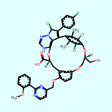 COc1ccccc1-c1nccc(COc2ccc3cc2C[C@H](C(=O)O)OC2=C4C(=C(c5ccc(F)cc5)C(Cl)N4N=CN2)c2c(C)c(Cl)c(c(Cl)c2C)O[C@H](CO)CO3)n1